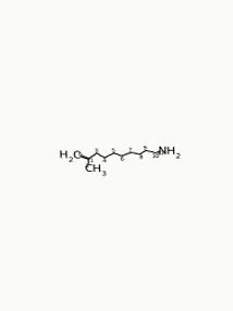 C=C(C)CCCCCCCCN